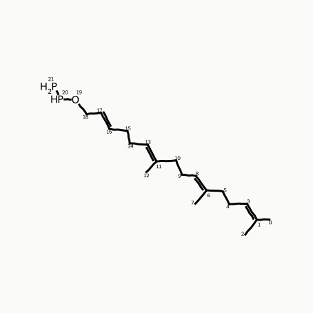 CC(C)=CCC/C(C)=C/CC/C(C)=C/CC/C=C/COPP